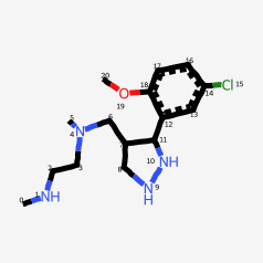 CNCCN(C)CC1CNNC1c1cc(Cl)ccc1OC